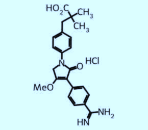 COC1=C(c2ccc(C(=N)N)cc2)C(=O)N(c2ccc(CC(C)(C)C(=O)O)cc2)C1.Cl